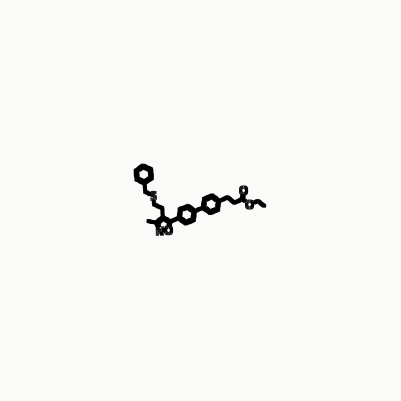 CCOC(=O)CCc1ccc(-c2ccc(-c3onc(C)c3CCSCc3ccccc3)cc2)cc1